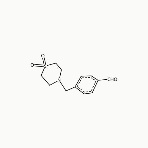 O=Cc1ccc(CN2CCS(=O)(=O)CC2)cc1